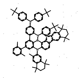 Cc1cc2c(cc1N1c3cc(-c4c(C)cccc4C)cc4c3B(c3c1ccc1c3oc3cc5c(cc31)C(C)(C)CCC5(C)C)N(c1ccc(C(C)(C)C)cc1)c1cc(N(c3ccc(C(C)(C)C)cc3)c3ccc(C(C)(C)C)cc3)ccc1-4)C(C)(C)CCC2(C)C